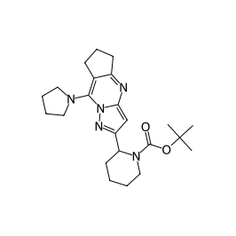 CC(C)(C)OC(=O)N1CCCCC1c1cc2nc3c(c(N4CCCC4)n2n1)CCC3